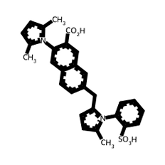 Cc1ccc(C)n1-c1cc2ccc(Cc3ccc(C)n3-c3ccccc3S(=O)(=O)O)cc2cc1C(=O)O